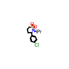 CC(C)N1C(c2ccc(Cl)cc2)CCCS1(=O)=O